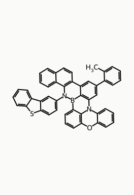 Cc1ccccc1-c1cc2c3c(c1)N1c4ccccc4Oc4cccc(c41)B3N(c1ccc3sc4ccccc4c3c1)c1c-2ccc2ccccc12